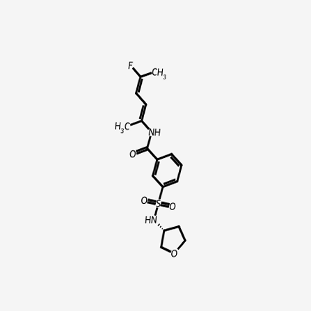 C/C(F)=C\C=C(/C)NC(=O)c1cccc(S(=O)(=O)N[C@@H]2CCOC2)c1